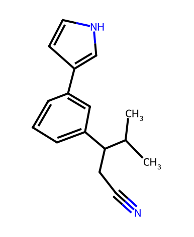 CC(C)C(CC#N)c1cccc(-c2cc[nH]c2)c1